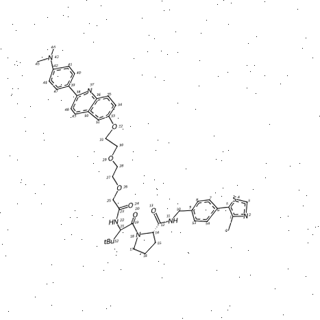 Cc1ncsc1-c1ccc(CNC(=O)[C@@H]2CCCN2C(=O)C(NC(=O)COCCOCCOc2ccc3nc(-c4ccc(N(C)C)cc4)ccc3c2)C(C)(C)C)cc1